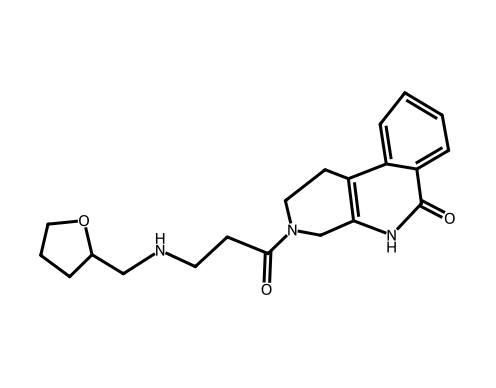 O=C(CCNCC1CCCO1)N1CCc2c([nH]c(=O)c3ccccc23)C1